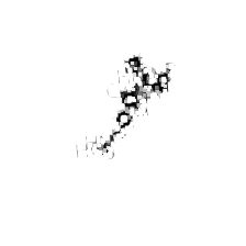 O=C(O)NCCOc1ccc(-c2cc(Cl)c3cn(C(C(=O)Nc4nccs4)c4ncn5c4CC(F)C5)nc3c2Cl)cc1